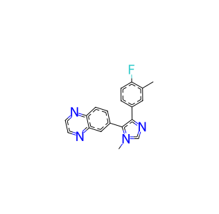 Cc1cc(-c2ncn(C)c2-c2ccc3nccnc3c2)ccc1F